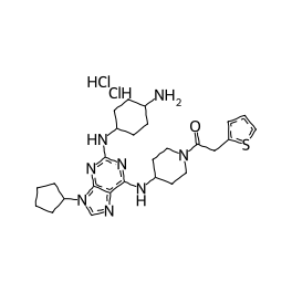 Cl.Cl.NC1CCC(Nc2nc(NC3CCN(C(=O)Cc4cccs4)CC3)c3ncn(C4CCCC4)c3n2)CC1